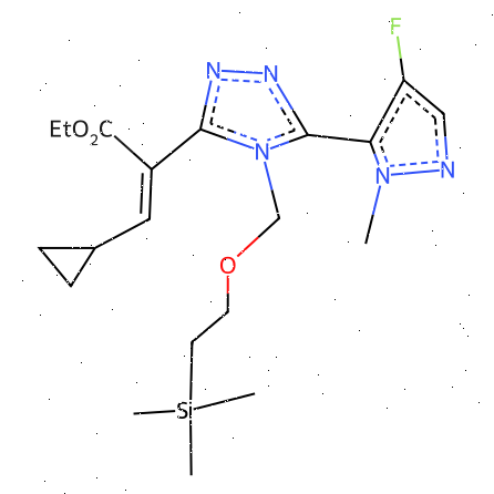 CCOC(=O)C(=CC1CC1)c1nnc(-c2c(F)cnn2C)n1COCC[Si](C)(C)C